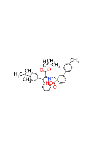 Cc1ccc(C2=CC=CC(Cn3c(C(=O)OC(C)(C)C)c(-c4ccc(C(C)(C)C)cc4)c4ccccc43)(C(=O)O)C2)cc1